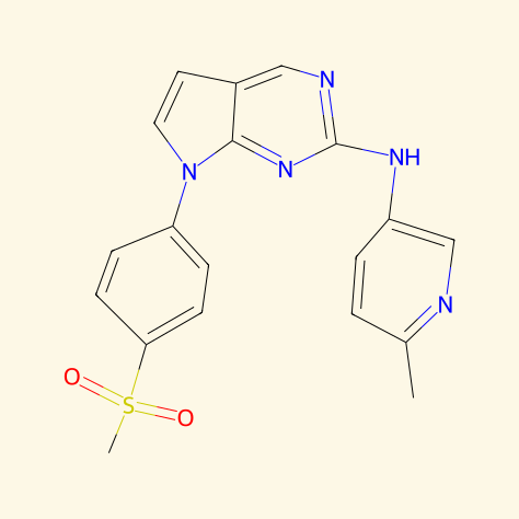 Cc1ccc(Nc2ncc3ccn(-c4ccc(S(C)(=O)=O)cc4)c3n2)cn1